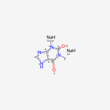 Cn1c(=O)c2[nH]cnc2n(C)c1=O.[NaH].[NaH]